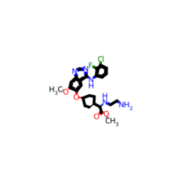 COC(=O)[C@H](NCCN)[C@H]1CC[C@@H](Oc2cc3c(Nc4cccc(Cl)c4F)ncnc3cc2OC)CC1